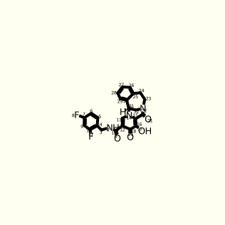 O=C(NCc1ccc(F)cc1F)c1cn2c(c(O)c1=O)C(=O)N1CCc3ccccc3[C@H]2C1